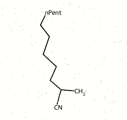 [CH2]C(C#N)CCCCCCCCCC